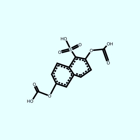 O=C(O)Oc1ccc2c(S(=O)(=O)O)c(OC(=O)O)ccc2c1